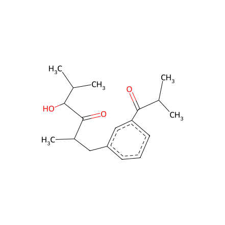 CC(C)C(=O)c1cccc(CC(C)C(=O)C(O)C(C)C)c1